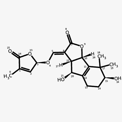 CC1=C[C@H](O/C=C2/C(=O)O[C@@H]3C4=C(CC[C@H](O)C4(C)C)[C@@H](O)[C@H]23)OC1=O